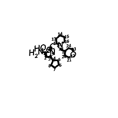 Nc1cc(C2CCCC2)no1.O=C(O)[C@@H]1CCCCN1CC1CCOCC1